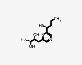 CCC[C@H](S)c1cncc(C[C@H](O)[C@H](C)O)n1